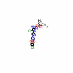 C[C@@H]1C(Oc2nc3nc(-c4ccc(N5CCN(S(=O)(=O)c6ccc(Cl)cc6)CC5)nc4)c(Cl)cc3[nH]2)CO[C@@H]1C